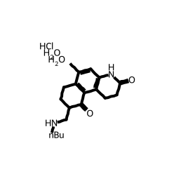 CCCCNCC1CCc2c(C)cc3c(c2C1=O)CCC(=O)N3.Cl.O.O